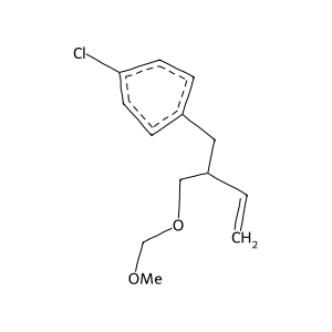 C=CC(COCOC)Cc1ccc(Cl)cc1